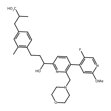 COc1cc(-c2ccc(C(O)CCc3ccc(CC(C)C(=O)O)cc3C)nc2CN2CCOCC2)c(F)cn1